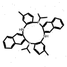 Cc1ccc2c(c1)Nc1cc3ccccc3cc1P(C(C)C)c1ccc(C)cc1Nc1cc3ccccc3cc1P2C(C)C